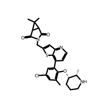 Cc1cc(Cl)cc(-c2ccnc3cc(CN4C(=O)C5C(C4=O)C5(C)C)sc23)c1O[C@H]1CCCN[C@H]1C